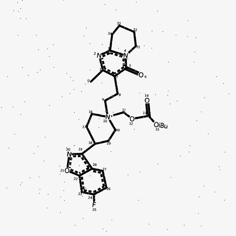 Cc1nc2n(c(=O)c1CC[N+]1(COC(=O)OCC(C)C)CCC(c3noc4cc(F)ccc34)CC1)CCCC2